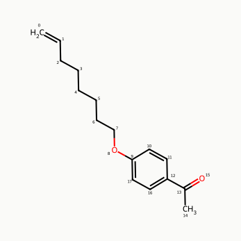 C=CCCCCCCOc1ccc(C(C)=O)cc1